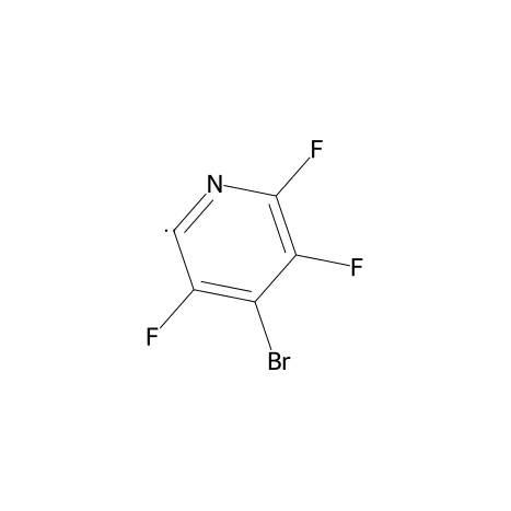 Fc1[c]nc(F)c(F)c1Br